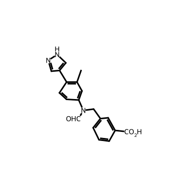 Cc1cc(N(C=O)Cc2cccc(C(=O)O)c2)ccc1-c1cn[nH]c1